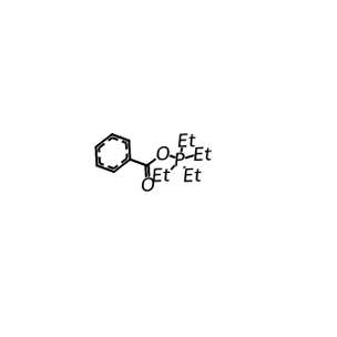 CCP(CC)(CC)(CC)OC(=O)c1ccccc1